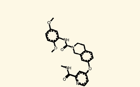 CNC(=O)c1cc(Oc2ccc3c(c2)CN(C(=O)Nc2cc(OC)ccc2OC)CC3)ccn1